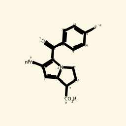 CCCc1cc2n(c1C(=O)c1ccc(F)cc1)CCC2C(=O)O